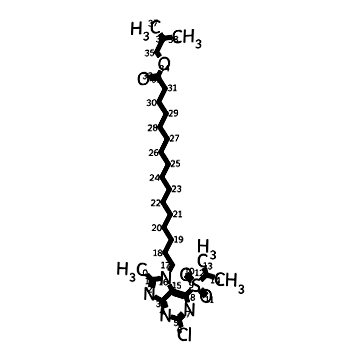 Cc1nc2nc(Cl)nc(S(=O)(=O)C(C)C)c2n1CCCCCCCCCCCCCCCC(=O)OCC(C)C